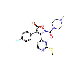 CSc1nccc(-c2c(-c3ccc(F)cc3)c(=O)on2C(=O)N2CCN(C)CC2)n1